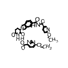 CCOc1ccc(C(=O)NC(=O)c2ccc3c(c2)CN(C2CCC(=O)NC2=O)C3)cn1.CCOc1ccc(C(=O)O)nn1